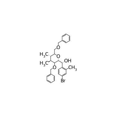 Cc1cc(Br)ccc1[C@@H](O)[C@H]1OC(COCc2ccccc2)[C@@H](C)[C@H](C)C1OCc1ccccc1